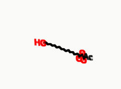 CC(=O)C(=O)C(=O)C(=O)CCCCCCCCCCCCCCCO